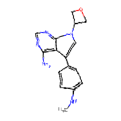 CNc1ccc(-c2cn(C3COC3)c3ncnc(N)c23)cc1